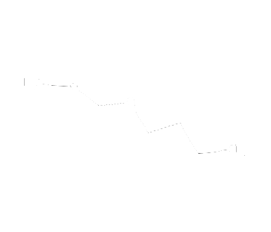 [CH2]CCCOCOC